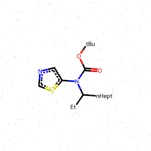 CCCCCCCC(CC)N(C(=O)OC(C)(C)C)c1cncs1